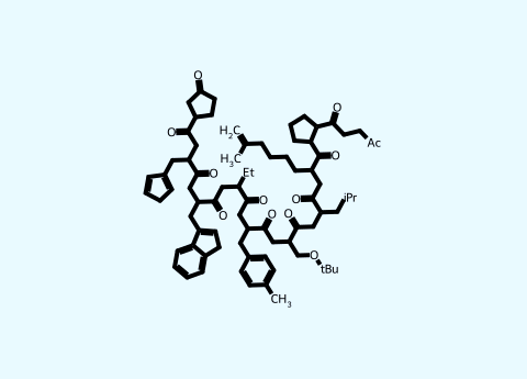 C=C(C)CCCCC(CC(=O)C(CC(=O)C(COC(C)(C)C)CC(=O)C(CC(=O)C(CC)CC(=O)C(CC(=O)C(CC(=O)C1CCC(=O)C1)CC1=CCC=C1)CC1=CCc2ccccc21)Cc1ccc(C)cc1)CC(C)C)C(=O)C1CCCC1C(=O)CCC(C)=O